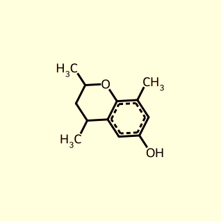 Cc1cc(O)cc2c1OC(C)CC2C